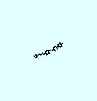 Cc1ccc(-c2ccc(COc3ccc(CCCCn4ccnn4)cc3)cn2)cc1